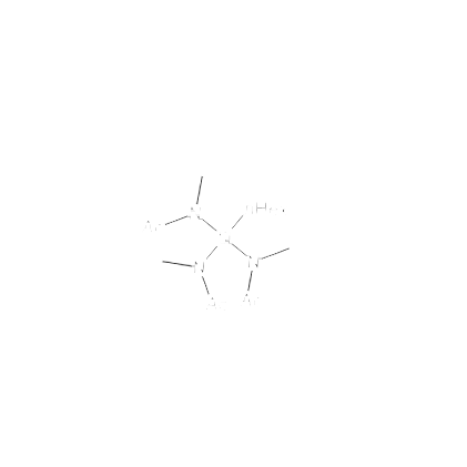 CCCCCC[Si](N(C)C(C)=O)(N(C)C(C)=O)N(C)C(C)=O